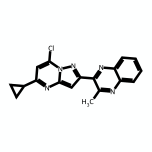 Cc1nc2ccccc2nc1-c1cc2nc(C3CC3)cc(Cl)n2n1